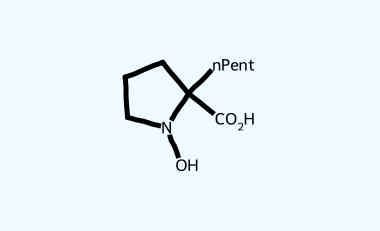 CCCCCC1(C(=O)O)CCCN1O